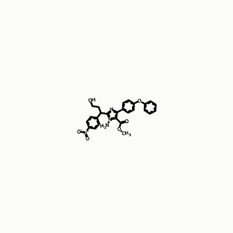 COC(=O)c1c(-c2ccc(Oc3ccccc3)cc2)nc(C(CCO)c2ccc([N+](=O)[O-])cc2)n1N